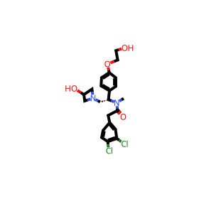 CN(C(=O)Cc1ccc(Cl)c(Cl)c1)[C@H](CN1CC(O)C1)c1ccc(OCCO)cc1